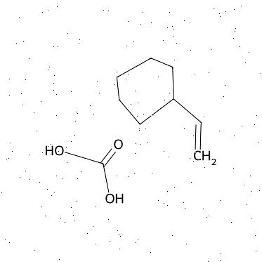 C=CC1CCCCC1.O=C(O)O